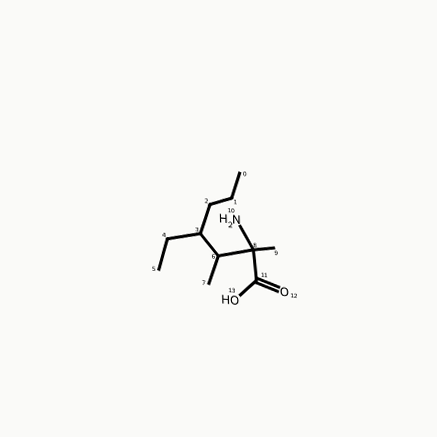 CCCC(CC)C(C)C(C)(N)C(=O)O